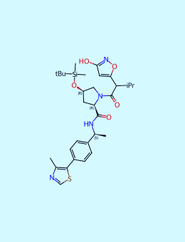 Cc1ncsc1-c1ccc([C@H](C)NC(=O)[C@H]2C[C@@H](O[Si](C)(C)C(C)(C)C)CN2C(=O)C(c2cc(O)no2)C(C)C)cc1